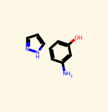 Nc1cccc(O)c1.c1cn[nH]c1